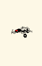 COC(=O)C[C@@]1(c2ccc(C(=O)N[C@H]3C4CC5CC3C[C@@](OC(F)F)(C5)C4)c(SC3CCCCC3)n2)CCCNC1